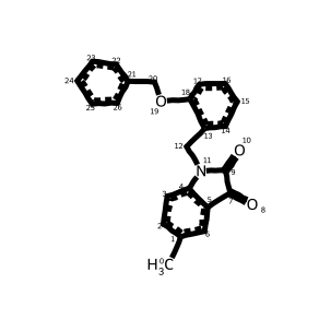 Cc1ccc2c(c1)C(=O)C(=O)N2Cc1ccccc1OCc1ccccc1